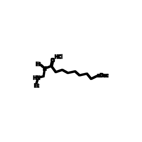 CCCCCCCCCCCCCCCCCC(=O)N(CC)CNCC.Cl